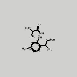 CC(C)C(=O)O.[CH2][C](CO)c1ccc(C)cc1O